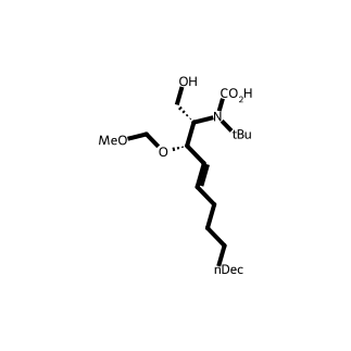 CCCCCCCCCCCCC/C=C/[C@H](OCOC)[C@H](CO)N(C(=O)O)C(C)(C)C